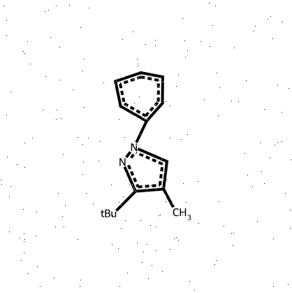 Cc1cn(-c2ccccc2)nc1C(C)(C)C